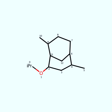 CC(C)OC1CC(C)C2CCC(C)C1C2